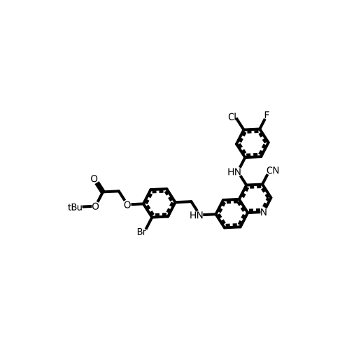 CC(C)(C)OC(=O)COc1ccc(CNc2ccc3ncc(C#N)c(Nc4ccc(F)c(Cl)c4)c3c2)cc1Br